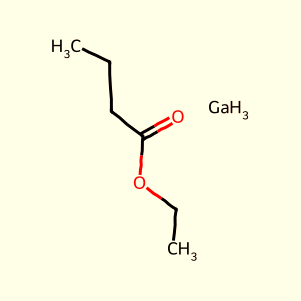 CCCC(=O)OCC.[GaH3]